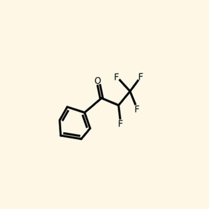 O=C(c1ccccc1)C(F)C(F)(F)F